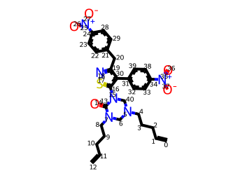 C=CCCCN1CN(CCCC=C)C(=O)N(c2snc(Cc3ccc([N+](=O)[O-])cc3)c2-c2ccc([N+](=O)[O-])cc2)C1